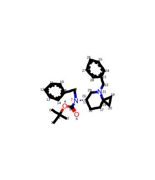 CC(C)(C)OC(=O)N(Cc1ccccc1)[C@H]1CCC2(CC2)N(Cc2ccccc2)C1